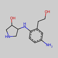 Nc1ccc(NC2CNCC2O)c(CCO)c1